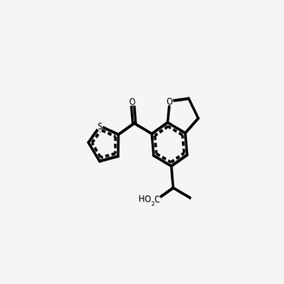 CC(C(=O)O)c1cc2c(c(C(=O)c3cccs3)c1)OCC2